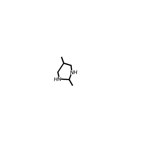 CC1CNC(C)NC1